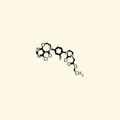 CCOC(=O)CN1CCN(c2ccc(N3CCOc4ncnc(Cl)c4C3=O)cc2F)C1=O